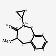 CNC1Cc2ccccc2CN(C2CC2)C1=O